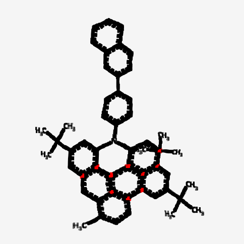 Cc1ccc(-c2cc(C(C)(C)C)cc(C(C)(C)C)c2)c2c(-c3ccccc3N(c3ccc(-c4ccc5ccccc5c4)cc3)c3cc(C(C)(C)C)ccc3-c3ccccc3)cccc12